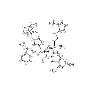 Cc1cc(O)cc(C)c1CC(NC(=O)C(N)CCCn1ccnc1N)C(=O)NC(Cc1cn(C)c2ccccc12)c1nc(CC23CC4CC(CC(C4)C2)C3)no1